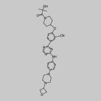 CC(C)(O)C(=O)N1CCC(Oc2ccc(-c3ncnc(Nc4ccc(N5CCN(C6COC6)CC5)cc4)n3)cc2C#N)CC1